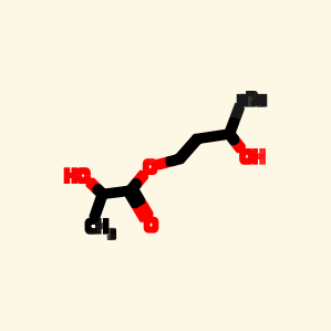 CCCCC(O)CCOC(=O)C(C)O